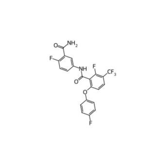 NC(=O)c1cc(NC(=O)c2c(Oc3ccc(F)cc3)ccc(C(F)(F)F)c2F)ccc1F